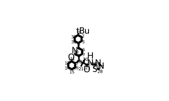 CC(C)(C)c1ccc(-c2ccc3c(n2)Oc2ccccc2[C@@H]3C(C)(C)C(=O)Nc2nncs2)cc1